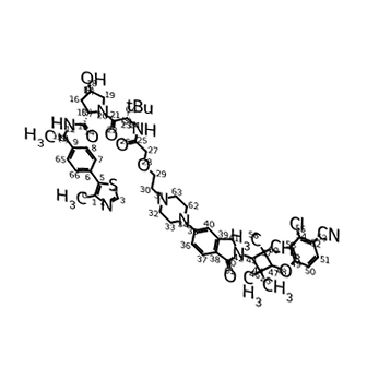 Cc1ncsc1-c1ccc([C@H](C)NC(=O)[C@@H]2C[C@@H](O)CN2C(=O)[C@@H](NC(=O)COCCN2CCN(c3ccc4c(c3)CN(C3C(C)(C)C(Oc5ccc(C#N)c(Cl)c5)C3(C)C)C4=O)CC2)C(C)(C)C)cc1